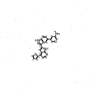 CN(C)c1cncc(-c2cnc3[nH]nc(-c4cc5c(-c6cccs6)ccnc5[nH]4)c3c2)c1